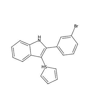 Brc1cccc(-c2[nH]c3ccccc3c2[SH]2C=CC=C2)c1